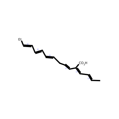 C/C=C/C=C(/C=C/C/C=C/C=C/C=C/CC)C(=O)O